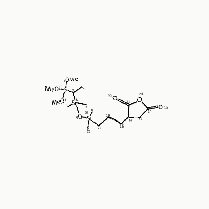 CO[Si](OC)(OC)C(C)[Si](C)(C)O[Si](C)(C)CCCC1CC(=O)OC1=O